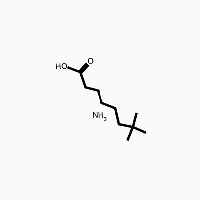 CC(C)(C)CCCCCC(=O)O.N